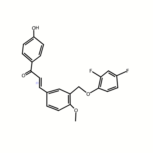 COc1ccc(/C=C/C(=O)c2ccc(O)cc2)cc1COc1ccc(F)cc1F